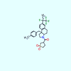 Cc1ccc(CC23CCN(C(=O)C4CCS(=O)(=O)C4)C2CCc2cc(C(C)(F)C(F)(F)F)ccc23)cc1